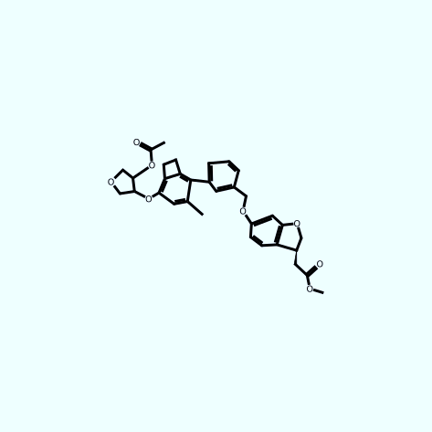 COC(=O)C[C@@H]1COc2cc(OCc3cccc(-c4c(C)cc(OC5COCC5OC(C)=O)c5c4CC5)c3)ccc21